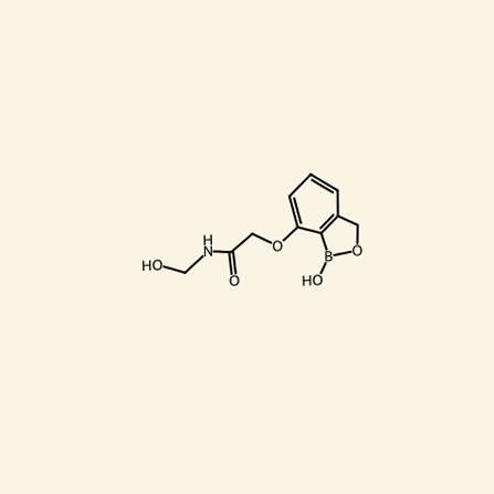 O=C(COc1cccc2c1B(O)OC2)NCO